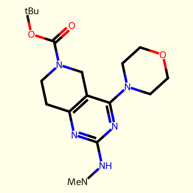 CNNc1nc2c(c(N3CCOCC3)n1)CN(C(=O)OC(C)(C)C)CC2